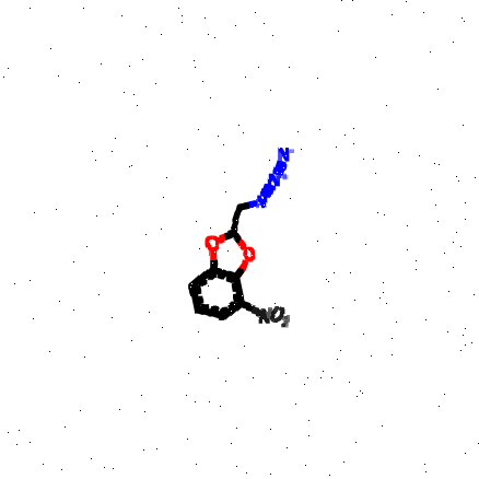 [N-]=[N+]=NCC1Oc2cccc([N+](=O)[O-])c2O1